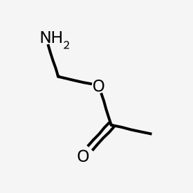 CC(=O)OCN